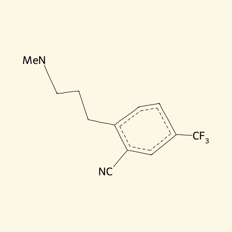 CNCCCc1ccc(C(F)(F)F)cc1C#N